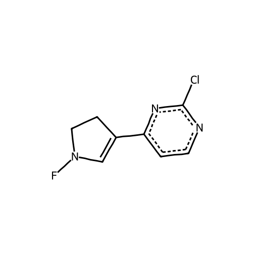 FN1C=C(c2ccnc(Cl)n2)CC1